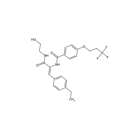 CCc1ccc(C=C(NC(=O)c2ccc(OCCC(F)(F)F)cc2)C(=O)NCCO)cc1